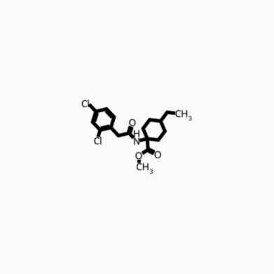 CCC1CCC(NC(=O)Cc2ccc(Cl)cc2Cl)(C(=O)OC)CC1